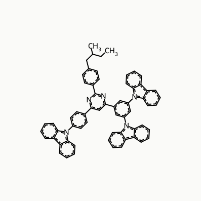 CCC(C)Cc1ccc(-c2nc(-c3ccc(-n4c5ccccc5c5ccccc54)cc3)cc(-c3cc(-n4c5ccccc5c5ccccc54)cc(-n4c5ccccc5c5ccccc54)c3)n2)cc1